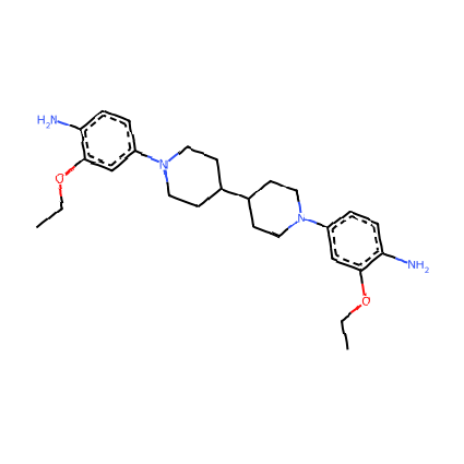 CCOc1cc(N2CCC(C3CCN(c4ccc(N)c(OCC)c4)CC3)CC2)ccc1N